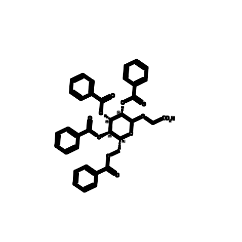 O=C(O)COC1O[C@H](COC(=O)c2ccccc2)[C@@H](OC(=O)c2ccccc2)[C@H](OC(=O)c2ccccc2)[C@@H]1OC(=O)c1ccccc1